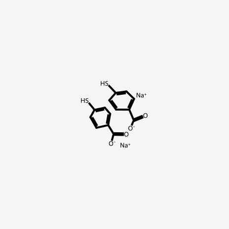 O=C([O-])c1ccc(S)cc1.O=C([O-])c1ccc(S)cc1.[Na+].[Na+]